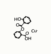 O=C(Oc1ccccc1C(=O)O)c1ccccc1O.[Cu]